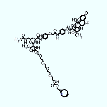 CC(C)[C@H](NC(=O)CCOCCOCCOCCOCCNC(=O)OCC1/C2=C/CC#CCCC21)C(=O)N[C@@H](CCCNC(N)=O)C(=O)Nc1ccc(OCC(=O)Nc2ccc(OCC(=O)[C@@]3(O)[C@H](C)C[C@H]4C5C[C@H](F)C6=CC(=O)C=C[C@]6(C)[C@@]5(F)C(=O)C[C@@]43C)cc2)cc1